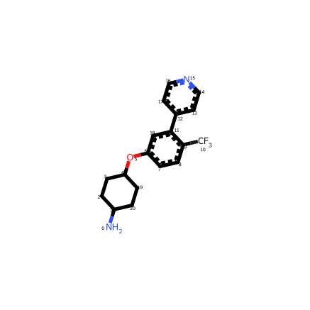 NC1CCC(Oc2ccc(C(F)(F)F)c(-c3ccncc3)c2)CC1